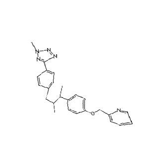 CC(Cc1ccc(-c2nnn(C)n2)cc1)C(C)c1ccc(OCc2ccccn2)cc1